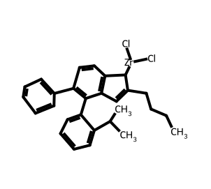 CCCCC1=Cc2c(ccc(-c3ccccc3)c2-c2ccccc2C(C)C)[CH]1[Zr]([Cl])[Cl]